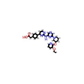 CCOc1cccnc1OC1CCCN(c2cncc(Nc3nccc(-c4ccc(CC(=O)O)cc4)n3)n2)C1